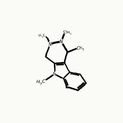 CC1c2c(n(C)c3ccccc23)CN(C)N1C